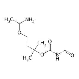 CC(N)OCCC(C)(C)OC(=O)BC=O